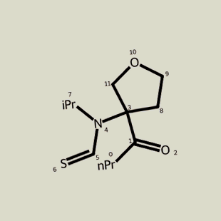 CCCC(=O)C1(N(C=S)C(C)C)CCOC1